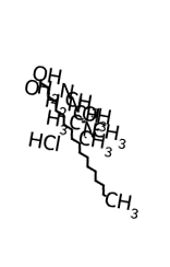 CC(O)N(C)C.CCCCCCCCCCCCCCCCCC(=O)O.CN.CN.Cl